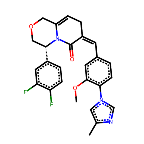 COc1cc(C=C2CC=C3COC[C@@H](c4ccc(F)c(F)c4)N3C2=O)ccc1-n1cnc(C)c1